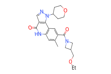 CCOCC1CN(C(=O)c2cc3c(cc2C)[nH]c(=O)c2cnn(C4CCOCC4)c23)C1